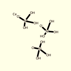 [Ce].[O-][N+](O)(O)O.[O-][N+](O)(O)O.[O-][N+](O)(O)O